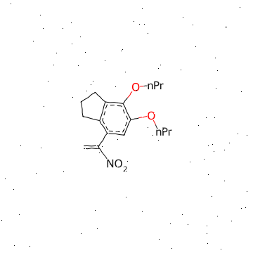 C=C(c1cc(OCCC)c(OCCC)c2c1CCC2)[N+](=O)[O-]